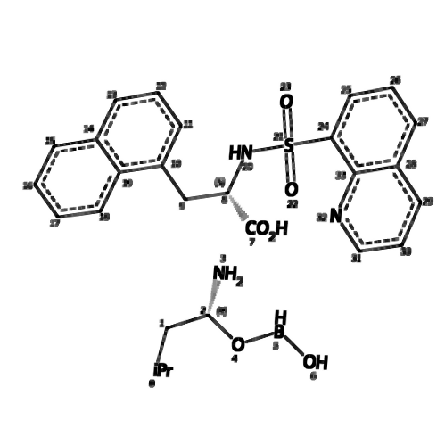 CC(C)C[C@H](N)OBO.O=C(O)[C@H](Cc1cccc2ccccc12)NS(=O)(=O)c1cccc2cccnc12